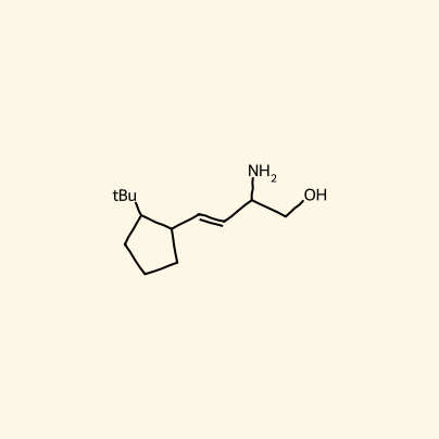 CC(C)(C)C1CCCC1/C=C/C(N)CO